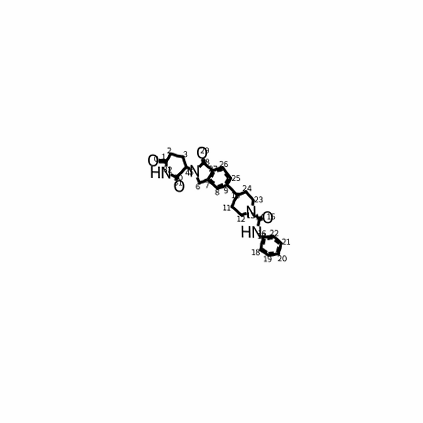 O=C1CCC(N2Cc3cc(C4CCN(C(=O)Nc5ccccc5)CC4)ccc3C2=O)C(=O)N1